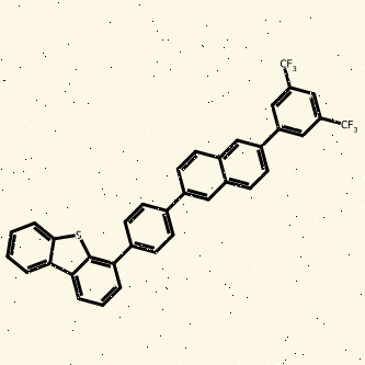 FC(F)(F)c1cc(-c2ccc3cc(-c4ccc(-c5cccc6c5sc5ccccc56)cc4)ccc3c2)cc(C(F)(F)F)c1